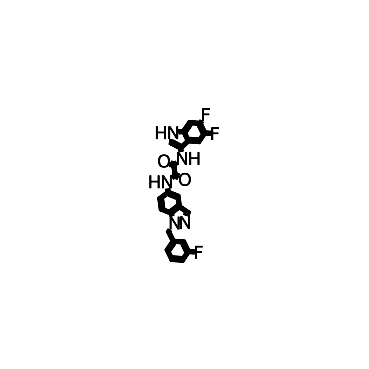 O=C(Nc1ccc2c(cnn2Cc2cccc(F)c2)c1)C(=O)Nc1c[nH]c2cc(F)c(F)cc12